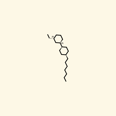 CCCCCCC[C@H]1CC[C@@H]([C@@H]2CCC[C@@H](CC)C2)CC1